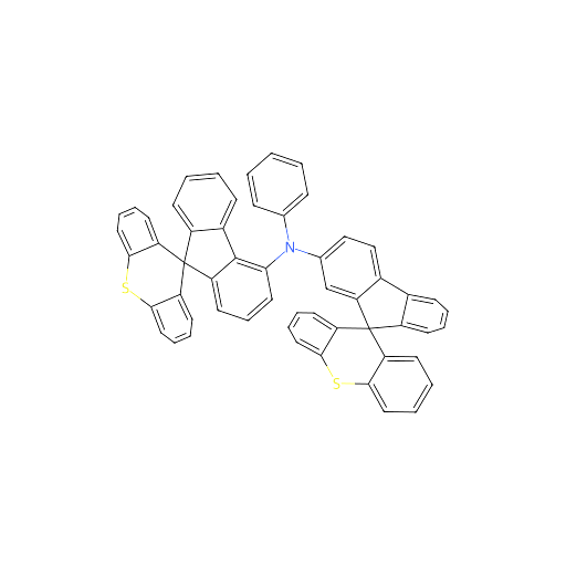 c1ccc(N(c2ccc3c(c2)C2(c4ccccc4Sc4ccccc42)c2ccccc2-3)c2cccc3c2-c2ccccc2C32c3ccccc3Sc3ccccc32)cc1